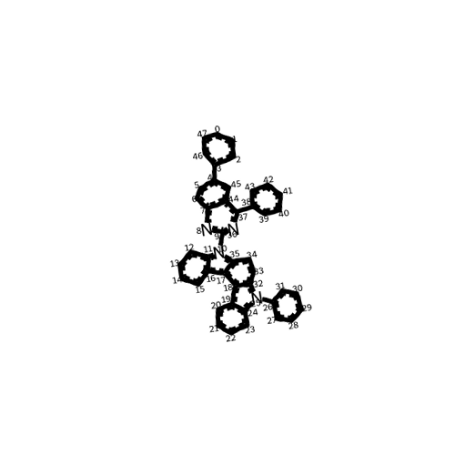 c1ccc(-c2ccc3nc(-n4c5ccccc5c5c6c7ccccc7n(-c7ccccc7)c6ccc54)nc(-c4ccccc4)c3c2)cc1